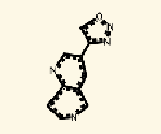 c1cc2ncc(-c3conn3)cc2cn1